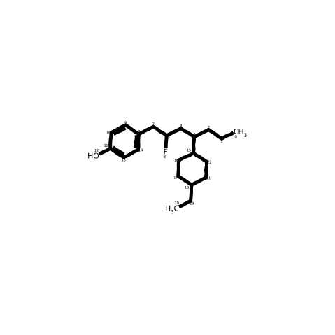 CCCC(CC(F)Cc1ccc(O)cc1)C1CCC(CC)CC1